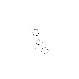 Nc1ccc2c(c1)Cc1c-2nn(-c2cccc(F)c2)c1N